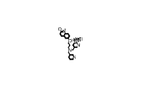 Cl.Cl.Cl.Cn1c(=O)ccc2cc(OCCCN(Cc3cccnc3)Cc3cccnc3)ccc21